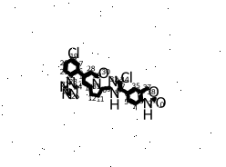 O=C1Nc2ccc(-c3[nH]c(C4CCc5cc(-c6cc(Cl)ccc6-n6cnnn6)cc(=O)n54)nc3Cl)cc2CO1